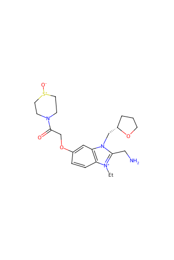 CC[n+]1c(CN)n(C[C@@H]2CCCO2)c2cc(OCC(=O)N3CC[S+]([O-])CC3)ccc21